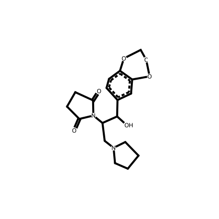 O=C1CCC(=O)N1C(CN1CCCC1)C(O)c1ccc2c(c1)OCCO2